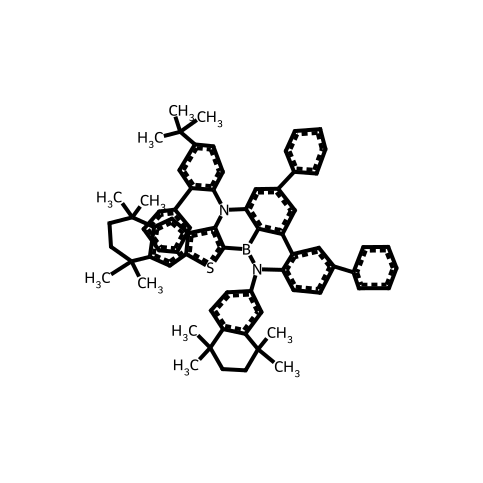 CC(C)(C)c1ccc(N2c3cc(-c4ccccc4)cc4c3B(c3sc5cc6c(cc5c32)C(C)(C)CCC6(C)C)N(c2ccc3c(c2)C(C)(C)CCC3(C)C)c2ccc(-c3ccccc3)cc2-4)c(-c2ccccc2)c1